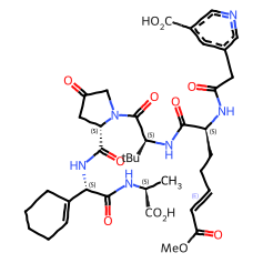 COC(=O)/C=C/CC[C@H](NC(=O)Cc1cncc(C(=O)O)c1)C(=O)N[C@H](C(=O)N1CC(=O)C[C@H]1C(=O)N[C@H](C(=O)N[C@@H](C)C(=O)O)C1=CCCCC1)C(C)(C)C